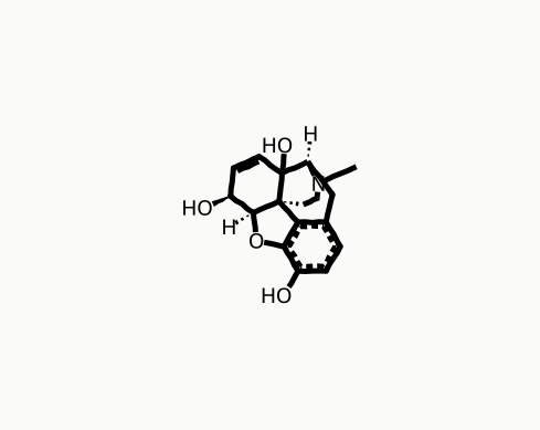 CN1CC[C@]23c4c5ccc(O)c4O[C@H]2[C@@H](O)C=CC3(O)[C@H]1C5